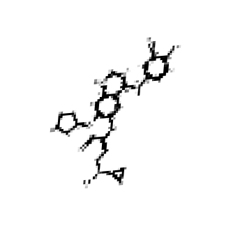 CN(CC=C(C=O)Nc1cc2c(Nc3ccc(F)c(Cl)c3)ncnc2cc1OC1CCCC1)C1CC1